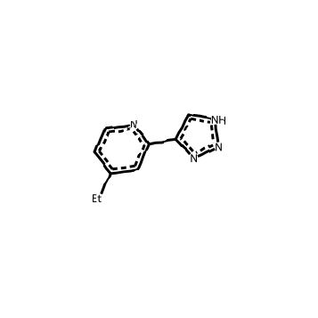 CCc1ccnc(-c2c[nH]nn2)c1